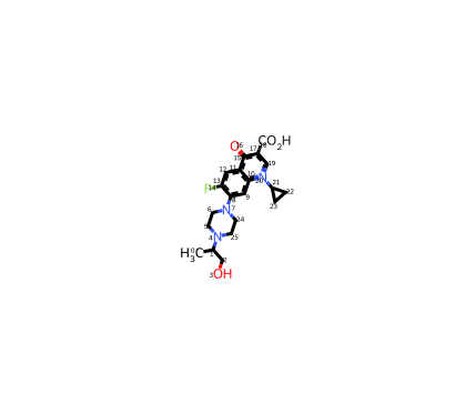 CC(CO)N1CCN(c2cc3c(cc2F)c(=O)c(C(=O)O)cn3C2CC2)CC1